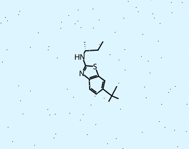 CC[C@@H](C)Nc1nc2ccc(C(C)(C)C)cc2s1